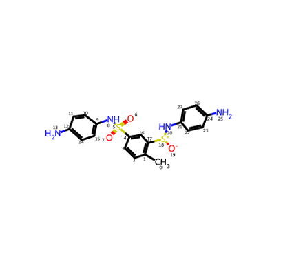 Cc1ccc(S(=O)(=O)Nc2ccc(N)cc2)cc1[S+]([O-])Nc1ccc(N)cc1